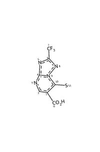 O=C(O)c1cnc2nc(C(F)(F)F)nn2c1[S]